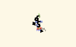 CC1(NS(=O)(=O)c2ccc(-c3c(C#N)c4cc(CC(F)F)ccc4n3C3CCC3)nc2)CC1